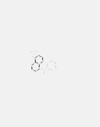 CCCCCCCOc1cccc2c(C(CC)N3CCC(C(=O)O)CC3)cccc12